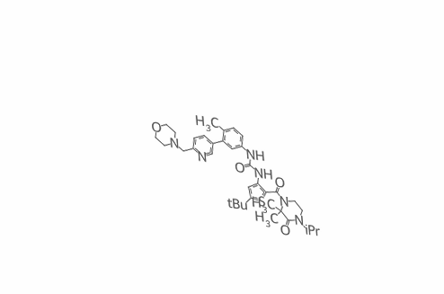 Cc1ccc(NC(=O)Nc2cc(C(C)(C)C)sc2C(=O)N2CCN(C(C)C)C(=O)C2(C)C)cc1-c1ccc(CN2CCOCC2)nc1